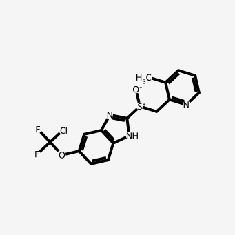 Cc1cccnc1C[S+]([O-])c1nc2cc(OC(F)(F)Cl)ccc2[nH]1